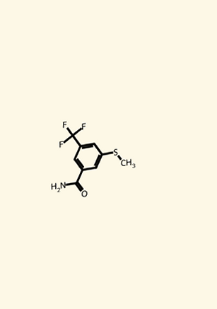 CSc1cc(C(N)=O)cc(C(F)(F)F)c1